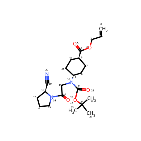 C=CCOC(=O)[C@H]1CC[C@H](N(CC(=O)N2CCC[C@H]2C#N)C(=O)OC(C)(C)C)CC1